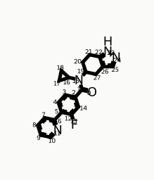 O=C(c1ccc(-c2ccccn2)c(F)c1)N(C1CC1)C1CCc2[nH]ncc2C1